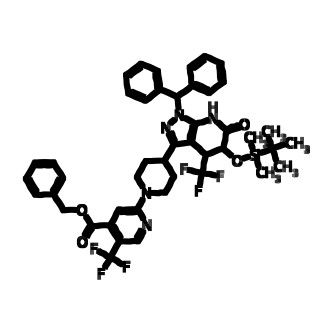 CC(C)(C)[Si](C)(C)OC1C(=O)Nc2c(c(C3CCN(c4cc(C(=O)OCc5ccccc5)c(C(F)(F)F)cn4)CC3)nn2C(c2ccccc2)c2ccccc2)C1C(F)(F)F